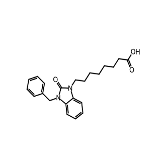 O=C(O)CCCCCCCn1c(=O)n(Cc2ccccc2)c2ccccc21